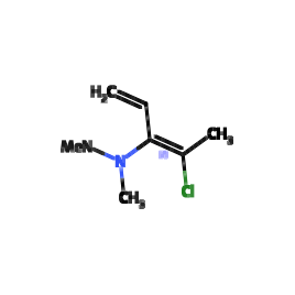 C=C/C(=C(\C)Cl)N(C)NC